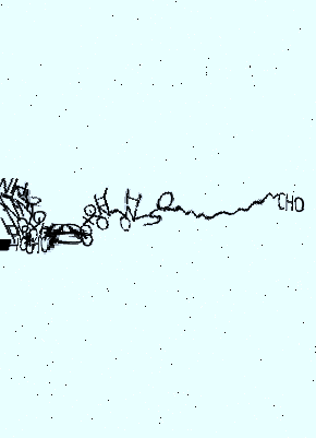 CC(C)(COP(=O)(O)OP(=O)(O)OC[C@H]1O[C@@H](n2cnc3c(N)ncnc32)[C@H](O)[C@@H]1OP(=O)(O)O)[C@@H](O)C(=O)NCCC(=O)NCCSC(=O)C=CCCCCCCCCCCCCCCC=O